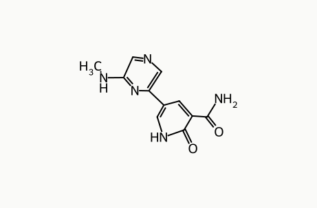 CNc1cncc(-c2c[nH]c(=O)c(C(N)=O)c2)n1